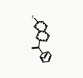 C=C([C]1C2=CC=CC1=C2)c1ccc2ccc(F)cc2c1